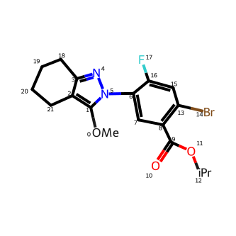 COc1c2c(nn1-c1cc(C(=O)OC(C)C)c(Br)cc1F)CCCC2